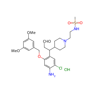 COc1cc(COc2cc(N)c(Cl)cc2C(CC=O)C2CCN(CCNS(C)(=O)=O)CC2)cc(OC)c1.Cl